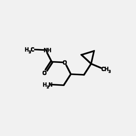 CNC(=O)OC(CN)CC1(C)CC1